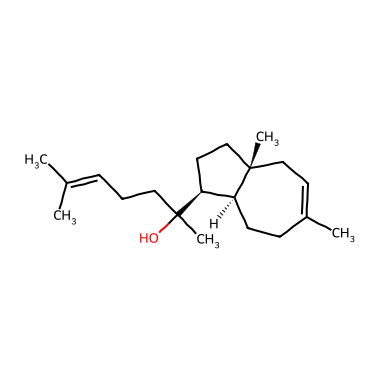 CC(C)=CCCC(C)(O)[C@H]1CC[C@]2(C)CC=C(C)CC[C@@H]12